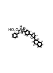 O=C(O)[C@@H](Cc1ccccc1)NS(=O)(=O)c1ccc(-c2ncc(-c3ccc4ccccc4c3)o2)cc1